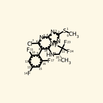 CSc1nc2nc(Cl)c(-c3c(F)cc(F)cc3F)c(N[C@@H](C)C(F)(F)F)n2n1